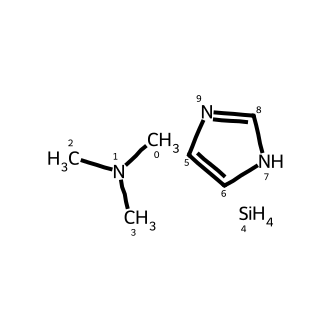 CN(C)C.[SiH4].c1c[nH]cn1